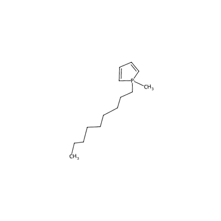 CCCCCCCCC[P]1(C)C=CC=C1